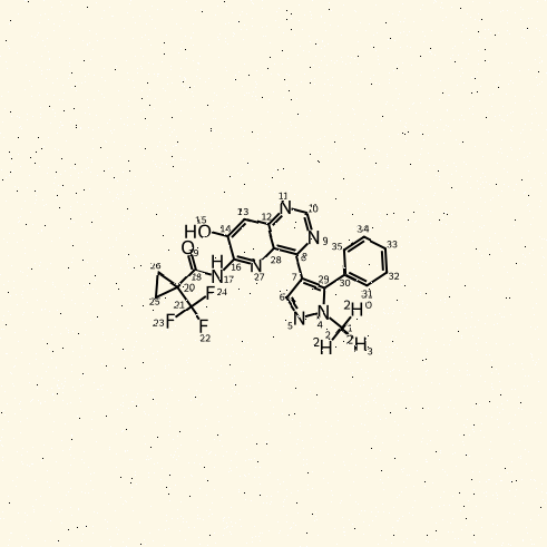 [2H]C([2H])([2H])n1ncc(-c2ncnc3cc(O)c(NC(=O)C4(C(F)(F)F)CC4)nc23)c1-c1ccccc1